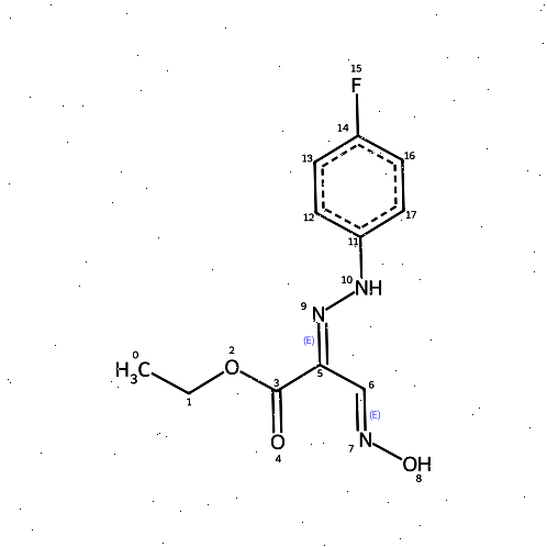 CCOC(=O)C(/C=N/O)=N/Nc1ccc(F)cc1